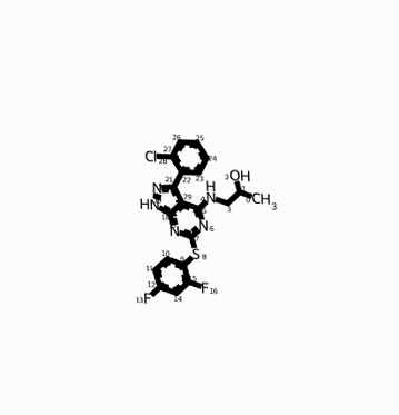 CC(O)CNc1nc(Sc2ccc(F)cc2F)nc2[nH]nc(-c3ccccc3Cl)c12